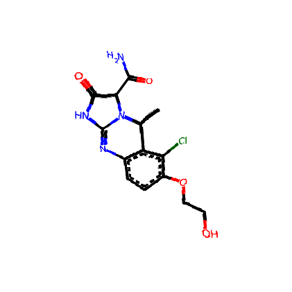 CC1c2c(ccc(OCCO)c2Cl)N=C2NC(=O)C(C(N)=O)N21